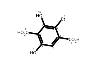 CCc1c(C(=O)O)cc(O)c(C(=O)O)c1O